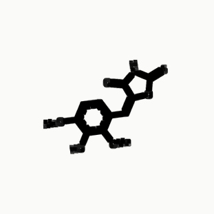 COc1ccc(/C=C2/OC(=S)NC2=O)c(OC)c1O